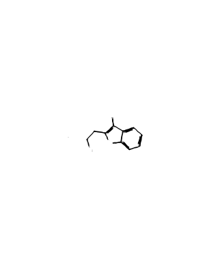 CCc1c(C[C@H](Br)C=O)sc2ccccc12